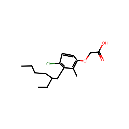 CCCCC(CC)Cc1c(Cl)ccc(OCC(=O)O)c1C